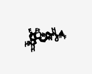 CCc1c(F)cc2c(c1-c1ccc3nc(NC(=O)[C@@H]4C[C@@H]4F)cn3n1)CNN2